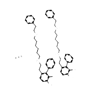 Br.Br.Br.Br.O.Oc1ccc(CCNCCCCCCNCCc2ccccc2)c(-c2ccccc2)c1O.Oc1ccc(CCNCCCCCCNCCc2ccccc2)c(-c2ccccc2)c1O